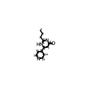 CCCc1nc(=O)cc(-c2ccncc2)[nH]1